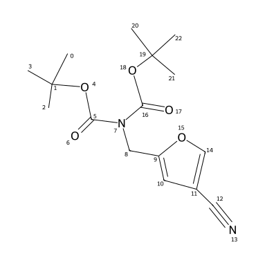 CC(C)(C)OC(=O)N(Cc1cc(C#N)co1)C(=O)OC(C)(C)C